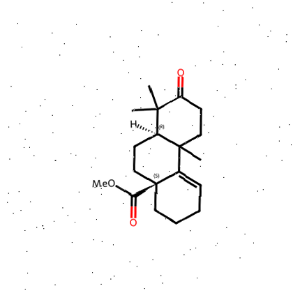 COC(=O)[C@]12CCCC=C1C1(C)CCC(=O)C(C)(C)[C@@H]1CC2